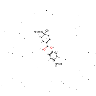 CCCCCCCC1(C#N)CCC(C(=O)Oc2ccc(CCCCC)cc2)CC1